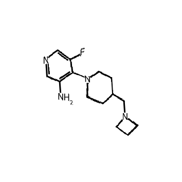 Nc1cncc(F)c1N1CCC(CN2CCC2)CC1